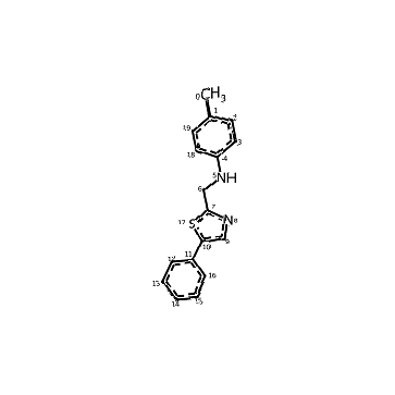 Cc1ccc(NCc2ncc(-c3ccccc3)s2)cc1